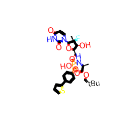 C[C@H](N[PH](O)(OC[C@H]1O[C@@H](n2ccc(=O)[nH]c2=O)[C@](C)(F)[C@@H]1O)Oc1ccc(-c2cccs2)cc1)C(=O)OCC(C)(C)C